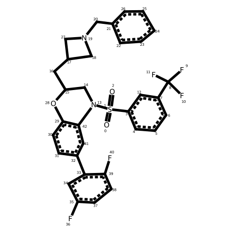 O=S(=O)(c1cccc(C(F)(F)F)c1)N1CC(CC2CN(Cc3ccccc3)C2)Oc2ccc(-c3cc(F)ccc3F)cc21